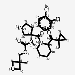 CN(C(=O)OCC1(C)COC1)[C@@]1(C(=O)N2CCCCC2C(=O)C2(C)CC2)CNC[C@@H]1c1ccc(Cl)c(Cl)c1